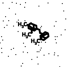 CCC12CC3CC(C)(C1)CC(CCC14CC5CC(CC(C)(C5)C1)C4)(C3)C2